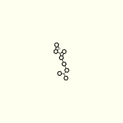 c1ccc(N(c2ccccc2)c2cccc(-c3ccc(-c4ccc5c(c4)c4ccccc4n5-c4cccc5c4oc4ccccc45)cc3)c2)cc1